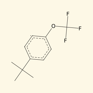 CC(C)(C)c1c[c]c(OC(F)(F)F)cc1